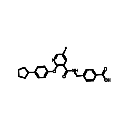 O=C(O)c1ccc(CNC(=O)c2cc(F)cnc2Oc2ccc(C3CCCC3)cc2)cc1